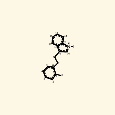 Cc1c[c]ccc1CCc1c[nH]c2ccccc12